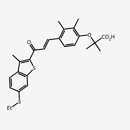 CCSc1ccc2c(C)c(C(=O)C=Cc3ccc(OC(C)(C)C(=O)O)c(C)c3C)sc2c1